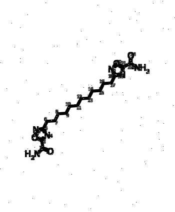 NC(=O)c1nc(CCCCCCCCCCCCc2noc(C(N)=O)n2)no1